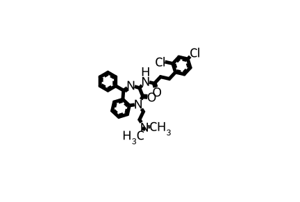 CN(C)CCN1C(=O)C(NC(=O)CCc2ccc(Cl)cc2Cl)N=C(c2ccccc2)c2ccccc21